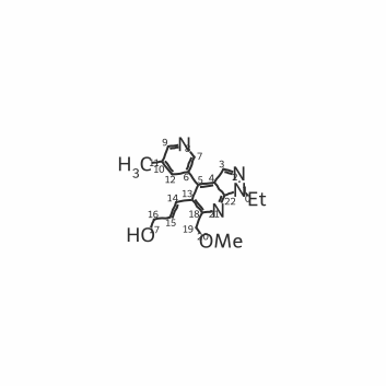 CCn1ncc2c(-c3cncc(C)c3)c(C=CCO)c(COC)nc21